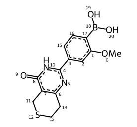 COc1cc(-c2nc3c(c(=O)[nH]2)CSCC3)ccc1B(O)O